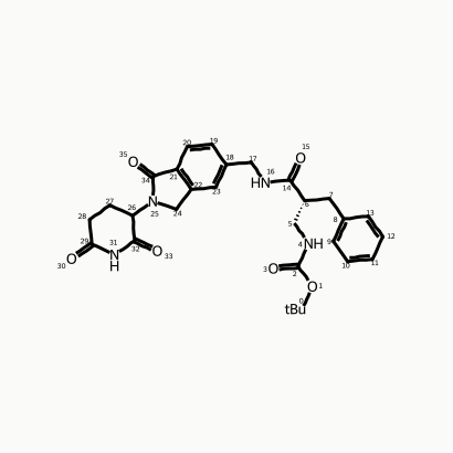 CC(C)(C)OC(=O)NC[C@@H](Cc1ccccc1)C(=O)NCc1ccc2c(c1)CN(C1CCC(=O)NC1=O)C2=O